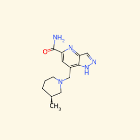 C[C@H]1CCCN(Cc2cc(C(N)=O)nc3cn[nH]c23)C1